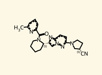 Cc1cccc(C(=O)N2CCCC[C@H]2c2cn3nc(N4CC[C@H](C#N)C4)ccc3n2)n1